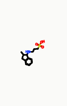 CC1Cc2ccccc2C1NCCCS(=O)(=O)O